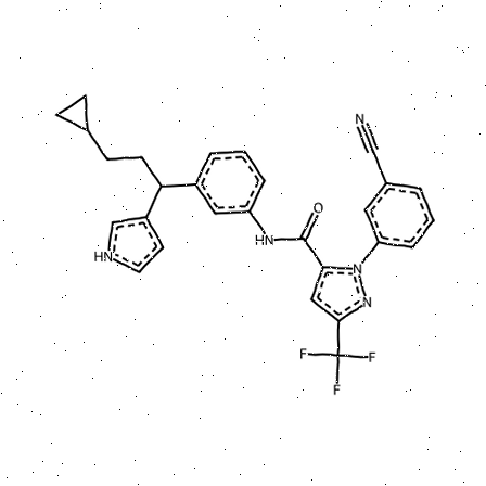 N#Cc1cccc(-n2nc(C(F)(F)F)cc2C(=O)Nc2cccc(C(CCC3CC3)c3cc[nH]c3)c2)c1